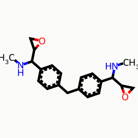 CNC(c1ccc(Cc2ccc(C(NC)C3CO3)cc2)cc1)C1CO1